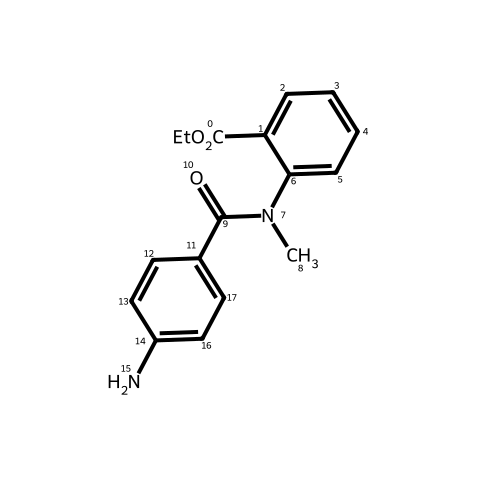 CCOC(=O)c1ccccc1N(C)C(=O)c1ccc(N)cc1